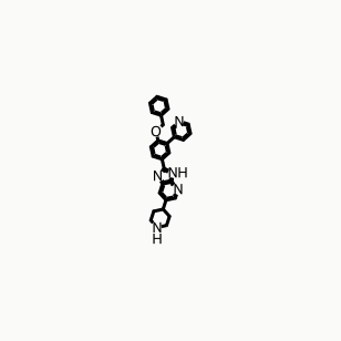 c1ccc(COc2ccc(-c3nc4cc(C5CCNCC5)cnc4[nH]3)cc2-c2cccnc2)cc1